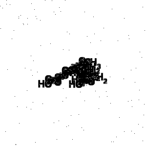 C=C(C)C(=O)O.C=C(C)C(=O)OCC(O)CO.C=C(C)C(=O)OCc1ccccc1.C=CC(=O)OCCOC(=O)CCC(=O)O